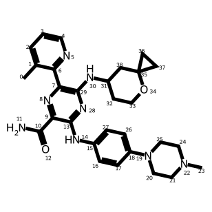 Cc1cccnc1-c1nc(C(N)=O)c(Nc2ccc(N3CCN(C)CC3)cc2)nc1NC1CCOC2(CC2)C1